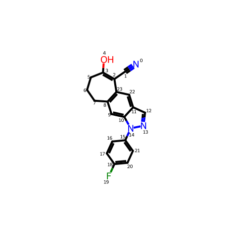 N#CC1=C(O)CCCc2cc3c(cnn3-c3ccc(F)cc3)cc21